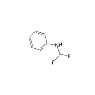 FC(F)Nc1cc[c]cc1